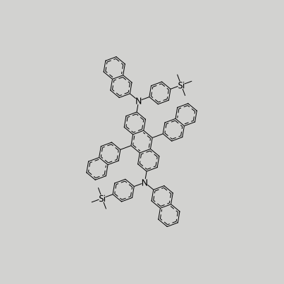 C[Si](C)(C)c1ccc(N(c2ccc3ccccc3c2)c2ccc3c(-c4ccc5ccccc5c4)c4cc(N(c5ccc([Si](C)(C)C)cc5)c5ccc6ccccc6c5)ccc4c(-c4ccc5ccccc5c4)c3c2)cc1